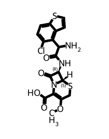 COC1=C(C(=O)O)N2C(=O)[C@@H](NC(=O)C(N)c3c(Cl)ccc4sccc34)[C@@H]2SC1